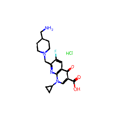 Cl.NCC1CCN(Cc2nc3c(cc2F)c(=O)c(C(=O)O)cn3C2CC2)CC1